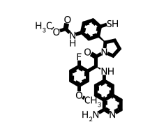 COC(=O)Nc1ccc(S)c([C@H]2CCCN2C(=O)[C@H](Nc2ccc3c(N)nccc3c2)c2cc(OC)ccc2F)c1